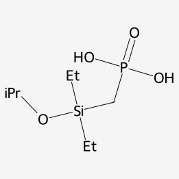 CC[Si](CC)(CP(=O)(O)O)OC(C)C